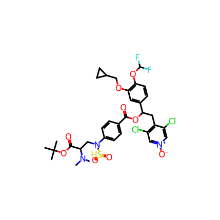 CN(C)C(CN(c1ccc(C(=O)OC(Cc2c(Cl)c[n+]([O-])cc2Cl)c2ccc(OC(F)F)c(OCC3CC3)c2)cc1)[SH](=O)=O)C(=O)OC(C)(C)C